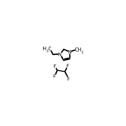 CCN1C=CN(C)C1.FC(F)C(F)F